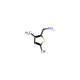 Cc1cc(C#N)sc1CN